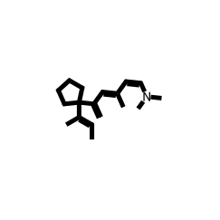 C=C(/C=C(C)/C=C\N(C)C)C1(/C(C)=C/C)CCCC1